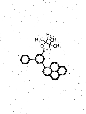 CC1(C)OB(c2cc(-c3ccccc3)cc(-c3ccc4ccc5cccc6ccc3c4c56)c2)OC1(C)C